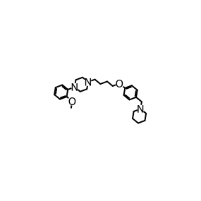 COc1ccccc1N1CCN(CCCCOc2ccc(CN3CCCCC3)cc2)CC1